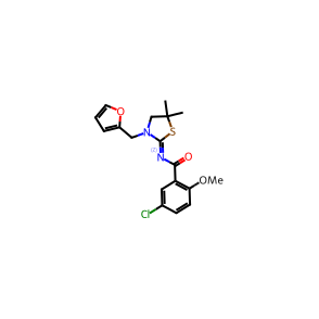 COc1ccc(Cl)cc1C(=O)/N=C1\SC(C)(C)CN1Cc1ccco1